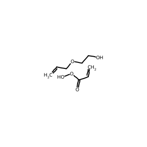 C=CC(=O)OO.C=CCOCCO